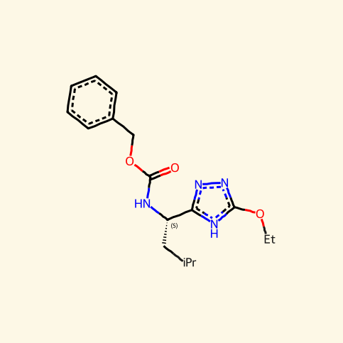 CCOc1nnc([C@H](CC(C)C)NC(=O)OCc2ccccc2)[nH]1